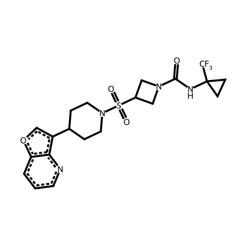 O=C(NC1(C(F)(F)F)CC1)N1CC(S(=O)(=O)N2CCC(c3coc4cccnc34)CC2)C1